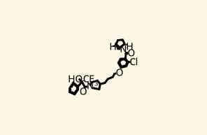 O=C(c1ccc(OCCCCC2CCN(C(=O)[C@](O)(c3ccccc3)C(F)(F)F)CC2)cc1Cl)N1C[C@@H]2CC[C@H]1C2